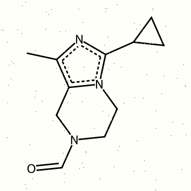 Cc1nc(C2CC2)n2c1CN(C=O)CC2